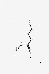 CCSCCC(=O)OC(C)CC